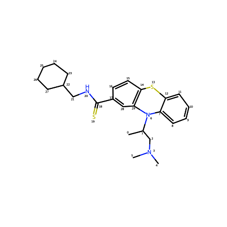 CC(CN(C)C)N1c2ccccc2Sc2ccc(C(=S)NCC3CCCCC3)cc21